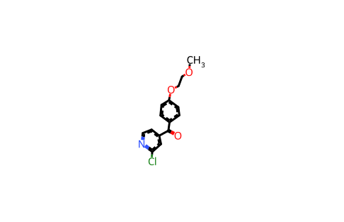 COCCOc1ccc(C(=O)c2ccnc(Cl)c2)cc1